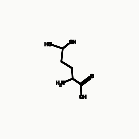 NC(CCC(O)O)C(=O)O